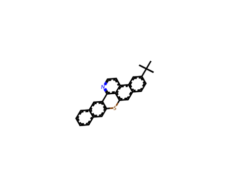 CC(C)(C)c1ccc2cc3c4c(nccc4c2c1)-c1cc2ccccc2cc1S3